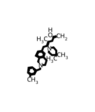 C=C(O)C/C(C)=C(/Cc1ccc2c(c1)CCN(Cc1cccc(C)c1)C2)N1CCC(C)(C)CC1